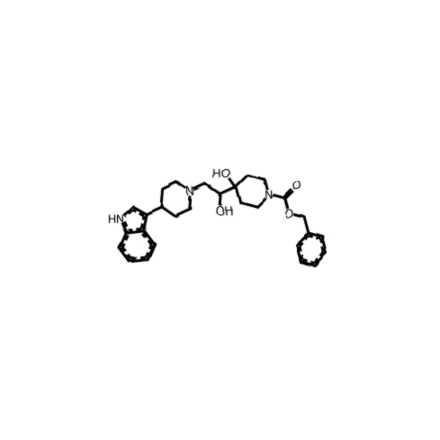 O=C(OCc1ccccc1)N1CCC(O)(C(O)CN2CCC(c3c[nH]c4ccccc34)CC2)CC1